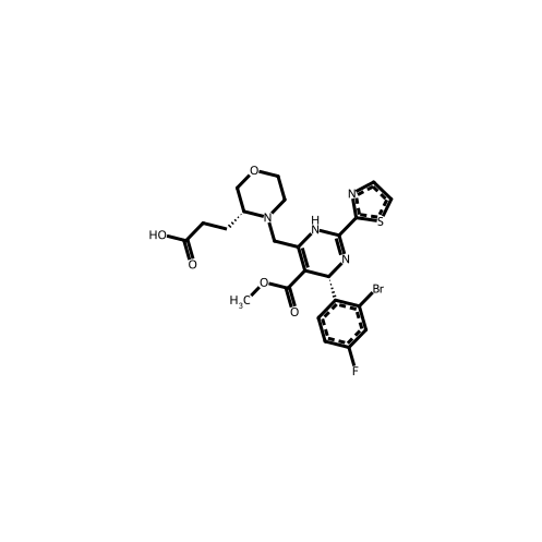 COC(=O)C1=C(CN2CCOC[C@H]2CCC(=O)O)NC(c2nccs2)=N[C@@H]1c1ccc(F)cc1Br